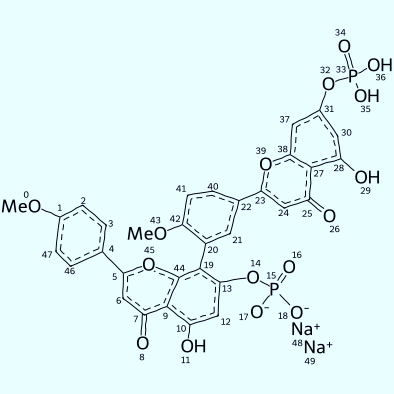 COc1ccc(-c2cc(=O)c3c(O)cc(OP(=O)([O-])[O-])c(-c4cc(-c5cc(=O)c6c(O)cc(OP(=O)(O)O)cc6o5)ccc4OC)c3o2)cc1.[Na+].[Na+]